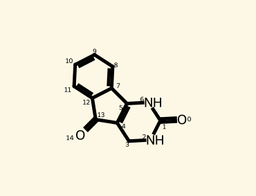 O=C1NCC2=C(N1)c1ccccc1C2=O